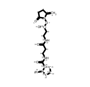 C=C1CCC(=O)N1O[13C](=O)CC[15NH]C(=O)CC[15NH]C(=O)[13CH]1[13CH2][13CH2][13CH2]N1C([13CH3])[13CH3]